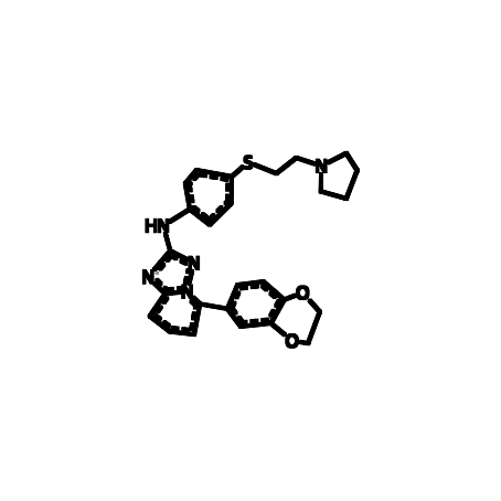 c1cc(-c2ccc3c(c2)OCCO3)n2nc(Nc3ccc(SCCN4CCCC4)cc3)nc2c1